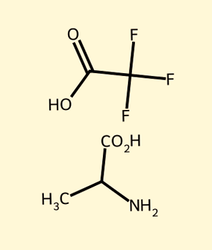 CC(N)C(=O)O.O=C(O)C(F)(F)F